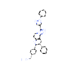 NCc1ccc(-c2nc3ccn4c(-c5cnn(-c6ccccc6)c5)nnc4c3cc2-c2ccccc2)cc1